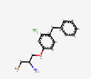 Cl.NC(CS)COc1ccc(Cc2ccccc2)cc1